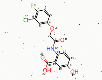 O=C(COc1ccc(F)c(Cl)c1)Nc1ccc(O)cc1C(=O)O